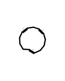 [C]1=C/CCC/C=C\C/C=C\CCC/1